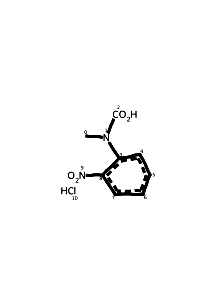 CN(C(=O)O)c1ccccc1[N+](=O)[O-].Cl